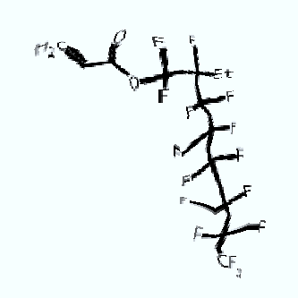 C=CC(=O)OC(F)(F)C(F)(CC)C(F)(F)C(F)(F)C(F)(F)C(F)(F)C(F)(F)C(F)(F)F